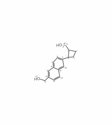 O=C(O)C1CCC1c1ccc2cc(CO)ccc2c1